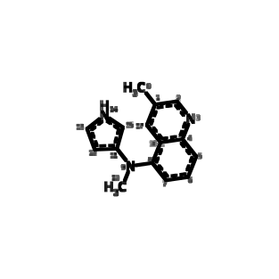 Cc1cnc2cccc(N(C)c3cc[nH]c3)c2c1